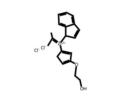 C[C](C)=[Zr+2]([C]1=CC(OCCO)=CC1)[CH]1C=Cc2ccccc21.[Cl-].[Cl-]